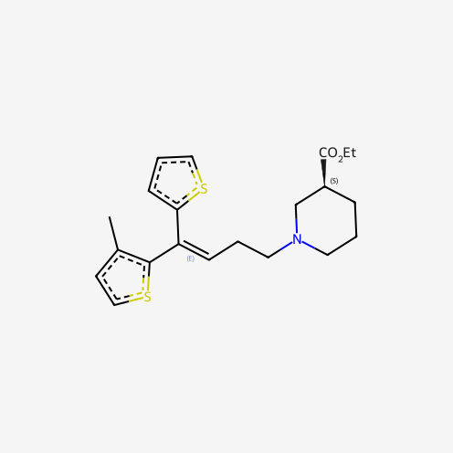 CCOC(=O)[C@H]1CCCN(CC/C=C(\c2cccs2)c2sccc2C)C1